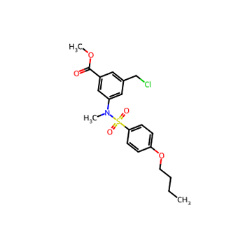 CCCCOc1ccc(S(=O)(=O)N(C)c2cc(CCl)cc(C(=O)OC)c2)cc1